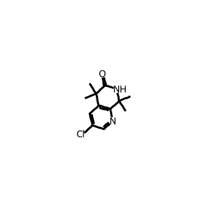 CC1(C)NC(=O)C(C)(C)c2cc(Cl)cnc21